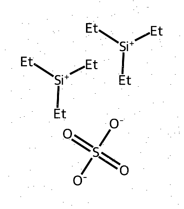 CC[Si+](CC)CC.CC[Si+](CC)CC.O=S(=O)([O-])[O-]